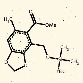 COC(=O)c1c(C)cc2c(c1CO[Si](C)(C)C(C)(C)C)OCO2